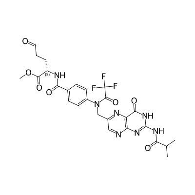 COC(=O)[C@H](CCC=O)NC(=O)c1ccc(N(Cc2cnc3nc(NC(=O)C(C)C)[nH]c(=O)c3n2)C(=O)C(F)(F)F)cc1